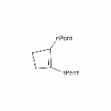 CCCCCC1=C(CCCCC)CC1